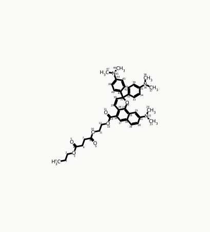 CCCOC(=O)CCC(=O)OCCOC(=O)c1cc2ccc(N(C)C)cc2c2c1C=CC(c1ccc(N(C)C)cc1)(c1ccc(N(C)C)cc1)O2